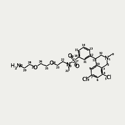 CN1Cc2c(Cl)cc(Cl)cc2C(c2cccc(S(=O)(=O)N(C)CCOCCOCCN)c2)C1